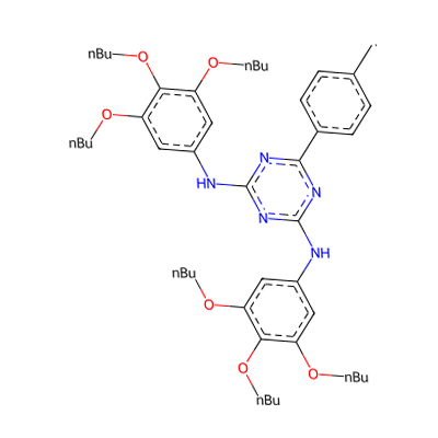 [CH2]c1ccc(-c2nc(Nc3cc(OCCCC)c(OCCCC)c(OCCCC)c3)nc(Nc3cc(OCCCC)c(OCCCC)c(OCCCC)c3)n2)cc1